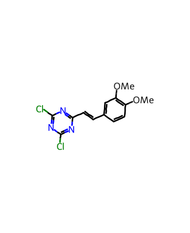 COc1ccc(C=Cc2nc(Cl)nc(Cl)n2)cc1OC